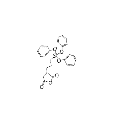 O=C1CC(CCC[Si](Oc2ccccc2)(Oc2ccccc2)Oc2ccccc2)C(=O)O1